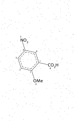 COc1ccc([N+](=O)[O-])cc1C(=O)O